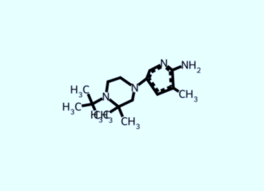 Cc1cc(N2CCN(C(C)(C)C)C(C)(C)C2)cnc1N